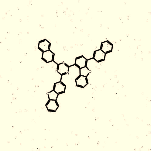 c1ccc2cc(-c3nc(-c4ccc5c(c4)oc4ccccc45)nc(-c4ccc(-c5ccc6ccccc6c5)c5oc6ccccc6c45)n3)ccc2c1